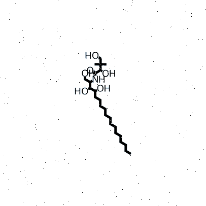 CCCCCCCCCCCCCCC(O)C(O)C(CO)NC(=O)C(O)C(C)(C)CO